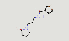 O=C(NCCCN1CCCC1=O)c1[c]scc1